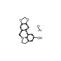 CC(=O)[O-].Oc1cc2c3c(c1)c1cc4c(cc1c[n+]3CC2)OCO4